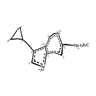 CC(=O)Nc1cc2[nH]cc(C3CC3)c2cn1